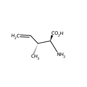 C=C[C@@H](C)[C@H](N)C(=O)O